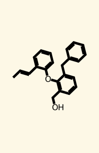 CC=Cc1ccccc1Oc1c(CO)cccc1Cc1ccccc1